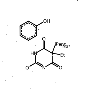 CCCC(C)C1(CC)C(=O)N=C([O-])NC1=O.Oc1ccccc1.[Na+]